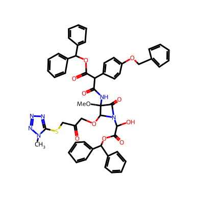 COC1(NC(=O)C(C(=O)OC(c2ccccc2)c2ccccc2)c2ccc(OCc3ccccc3)cc2)C(=O)N(C(O)C(=O)OC(c2ccccc2)c2ccccc2)C1OCC(=O)CSc1nnnn1C